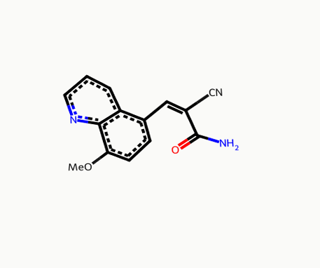 COc1ccc(C=C(C#N)C(N)=O)c2cccnc12